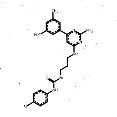 Cc1cc(C)cc(-c2cc(NCCCNC(=O)Nc3ccc(Cl)cc3)nc(N)n2)c1